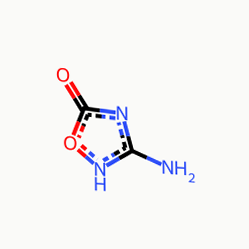 Nc1nc(=O)o[nH]1